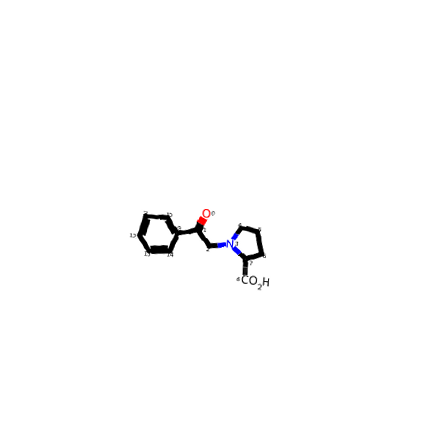 O=C(CN1CCCC1C(=O)O)c1ccccc1